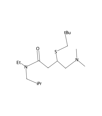 CCN(CC(C)C)C(=O)CC(CN(C)C)SCC(C)(C)C